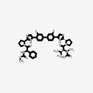 COC(=O)NC(C(=O)N1CCCC1c1ncc(-c2ccc(-c3ccc(-c4cnc([C@@H]5CCCN5C(=O)[C@H](C(C)C)N(C)C(=O)O)[nH]4)c(F)c3)cc2F)[nH]1)c1ccccc1